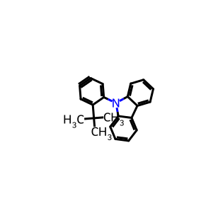 CC(C)(C)c1cc#ccc1-n1c2ccccc2c2ccccc21